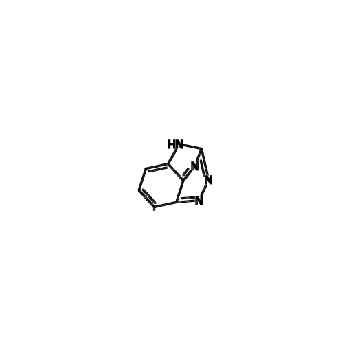 [c]1ccc2[nH]c3nnc1c2n3